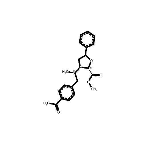 COC(=O)[C@H]1OC(c2ccccc2)CN1[C@H](C)Cc1ccc(C(C)=O)cc1